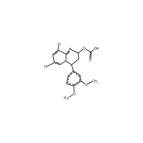 COc1ccc(C2CC(OC(=O)O)N=C3C(Cl)=CC(Cl)=CN32)cc1OC